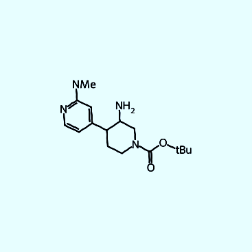 CNc1cc(C2CCN(C(=O)OC(C)(C)C)CC2N)ccn1